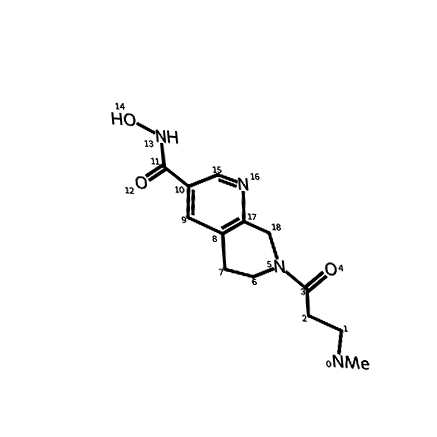 CNCCC(=O)N1CCc2cc(C(=O)NO)cnc2C1